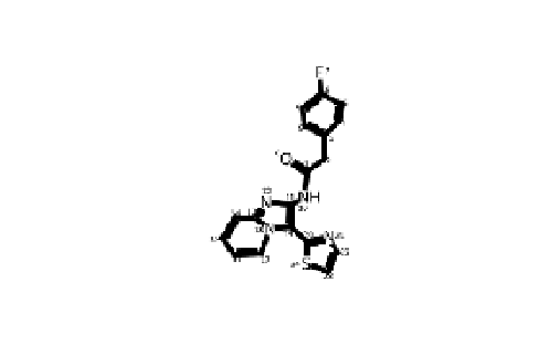 O=C(Cc1ccc(F)cc1)Nc1nc2ccccn2c1-c1nccs1